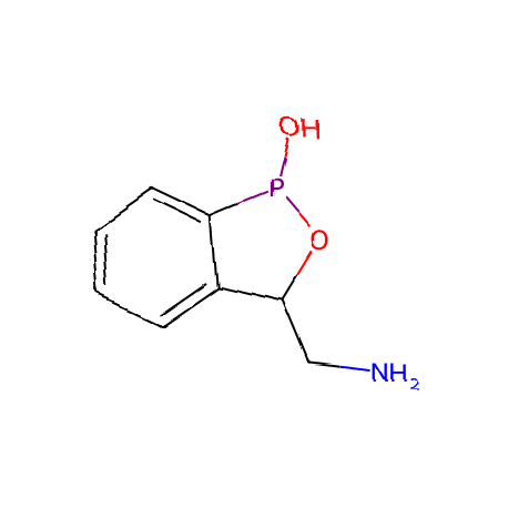 NCC1OP(O)c2ccccc21